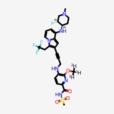 [2H]C([2H])([2H])Oc1nc(C(=O)NS(C)(=O)=O)ccc1NCC#Cc1cc2c(N[C@@H]3CCN(C)C[C@H]3F)cccn2c1CC(F)(F)F